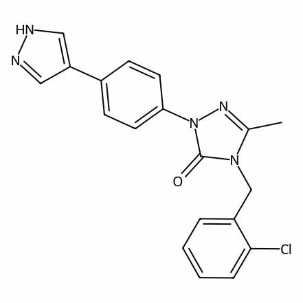 Cc1nn(-c2ccc(-c3cn[nH]c3)cc2)c(=O)n1Cc1ccccc1Cl